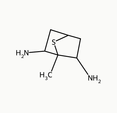 CC12SC(CC1N)CC2N